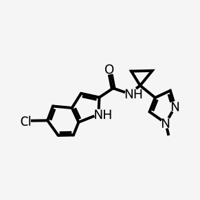 Cn1cc(C2(NC(=O)c3cc4cc(Cl)ccc4[nH]3)CC2)cn1